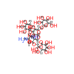 CO[C@@H]1OC(CO)[C@H](O[C@H]2OC(CO)[C@@H](O)[C@H](O)C2O)[C@H](O[C@@H]2OC(CO[C@H]3OC(CO)[C@@H](O)[C@H](O)C3O)[C@@H](O)[C@H](O[C@@H]3OC(C)[C@H](O)[C@H](O)C3O)C2O)C1NC(C)C(N)=O